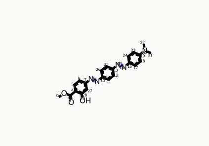 COC(=O)c1ccc(/N=N/c2ccc(/N=N/c3ccc(N(C)C)cc3)cc2)cc1O